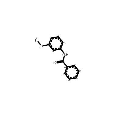 CCOc1cccc(NC(=O)c2ccccc2)c1